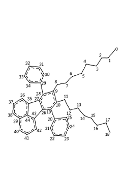 CCCCCCCCCc1c(CCCCCCCC)c(-c2ccccc2)c2c(c1-c1ccccc1)-c1cccc3cccc-2c13